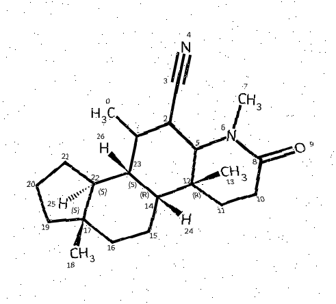 CC1C(C#N)C2N(C)C(=O)CC[C@]2(C)[C@@H]2CC[C@]3(C)CCC[C@H]3[C@H]12